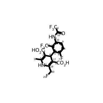 CC1=C(C(=O)O)C(c2c(F)ccc(NC(=O)C(F)(F)F)c2C(F)(F)F)C(C(=O)O)=C(CF)N1